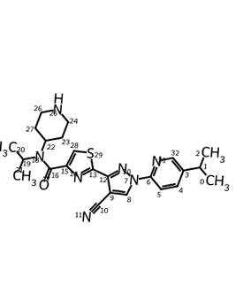 CC(C)c1ccc(-n2cc(C#N)c(-c3nc(C(=O)N(C(C)C)C4CCNCC4)cs3)n2)nc1